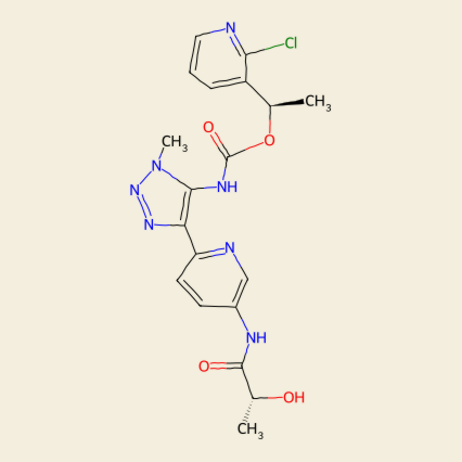 C[C@@H](O)C(=O)Nc1ccc(-c2nnn(C)c2NC(=O)O[C@H](C)c2cccnc2Cl)nc1